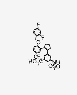 CS(=O)(=O)Nc1cc(C(=O)O)cc(C2=C(c3cc(C(F)(F)F)ccc3OCc3ccc(F)cc3F)CCC2)c1